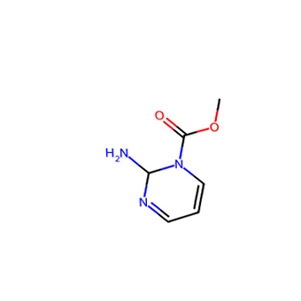 COC(=O)N1C=CC=NC1N